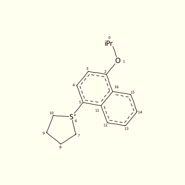 CC(C)Oc1ccc([S+]2CCCC2)c2ccccc12